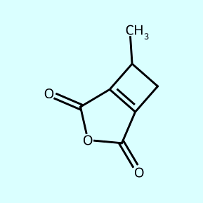 CC1CC2=C1C(=O)OC2=O